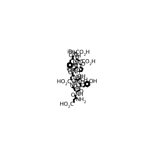 CC[C@H](C)[C@H](NC(=O)[C@H](Cc1ccc(O)cc1)NC(=O)[C@H](CC(=O)O)NC(=O)[C@@H]1CCCN1C(=O)[C@@H](NC(=O)[C@H](CCC(=O)O)NC(=O)[C@@H](NC(=O)[C@H](Cc1ccc(O)cc1)NC(=O)[C@H](CCCN)NC(=O)[C@@H](N)CCC(=O)O)[C@@H](C)O)C(C)C)C(=O)O